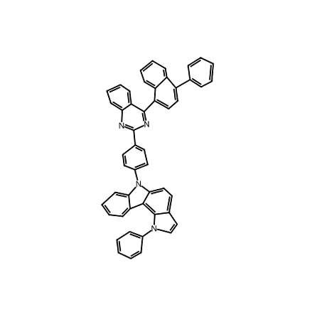 c1ccc(-c2ccc(-c3nc(-c4ccc(-n5c6ccccc6c6c7c(ccc65)ccn7-c5ccccc5)cc4)nc4ccccc34)c3ccccc23)cc1